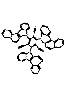 N#Cc1c(-n2c3ccccc3c3c4ccccc4ccc32)c(C#N)c(-n2c3ccccc3c3c4ccccc4ccc32)c(C#N)c1-n1c2ccccc2c2c3ccccc3ccc21